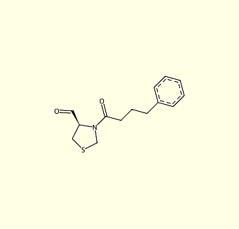 O=C[C@@H]1CSCN1C(=O)CCCc1ccccc1